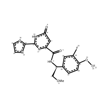 COC[C@@H](NC(=O)c1cc(=O)[nH]c(-c2nccs2)n1)c1ccc(OC(F)(F)F)c(F)c1